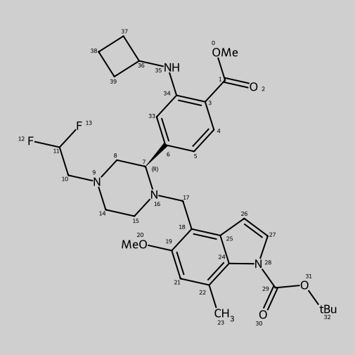 COC(=O)c1ccc([C@@H]2CN(CC(F)F)CCN2Cc2c(OC)cc(C)c3c2ccn3C(=O)OC(C)(C)C)cc1NC1CCC1